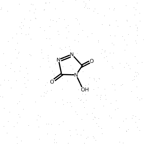 O=C1N=NC(=O)N1O